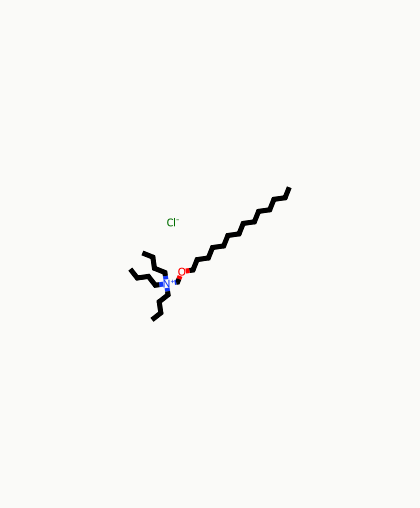 CCCCCCCCCCCCCCOC[N+](CCCC)(CCCC)CCCC.[Cl-]